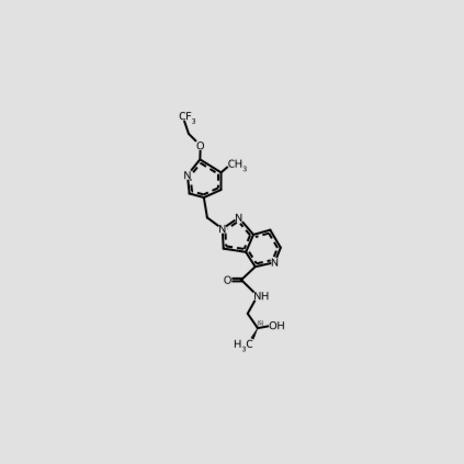 Cc1cc(Cn2cc3c(C(=O)NC[C@H](C)O)nccc3n2)cnc1OCC(F)(F)F